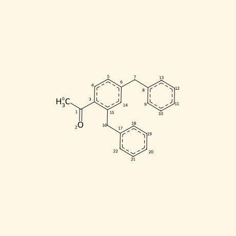 CC(=O)c1ccc(Cc2ccccc2)cc1Cc1ccccc1